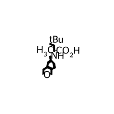 CC(C)(C)CC[C@](C)(NCc1ccc2c(c1)CCOC2)C(=O)O